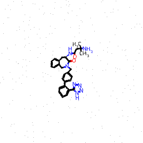 CC(C)(N)CC(=O)N[C@@H]1Cc2ccccc2CN(Cc2ccc(-c3ccccc3-c3nnn[nH]3)cc2)C1=O